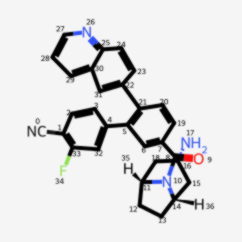 N#Cc1ccc(-c2cc(C(=O)N3[C@@H]4CC[C@H]3C[C@@H](N)C4)ccc2-c2ccc3ncccc3c2)cc1F